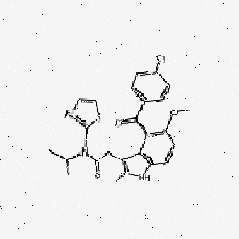 COc1ccc2[nH]c(C)c(CC(=O)N(c3nccs3)C(C)C)c2c1C(=O)c1ccc(Cl)cc1